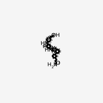 NC(=O)C=Cc1cccc(-c2cccc3cnc(Nc4ccc(NC5CCN(CCO)CC5)c(F)c4)nc23)c1